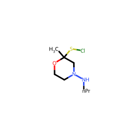 CCCNN1CCOC(C)(SCl)C1